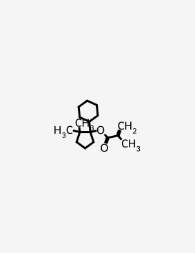 C=C(C)C(=O)OC1(C2CCCCC2)CCCC1(C)C